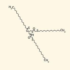 CCCCCCCCCCCCCCCC(=S)OC(CNC(=O)CSCCCCCCCCCCCCCC)CSC(=O)CSCCCCCCCCCCCCCC